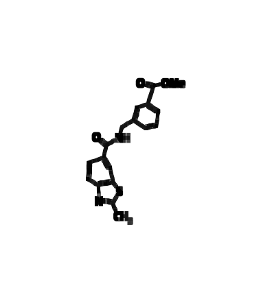 COC(=O)c1cccc(CNC(=O)c2ccc3nc(C)sc3c2)c1